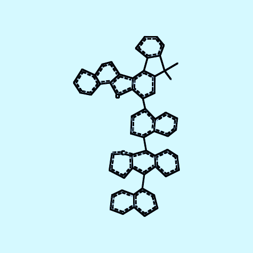 CC1(C)c2ccccc2-c2c1cc(-c1ccc(-c3c4ccccc4c(-c4cccc5ccccc45)c4ccccc34)c3ccccc13)c1oc3c4ccccc4ccc3c21